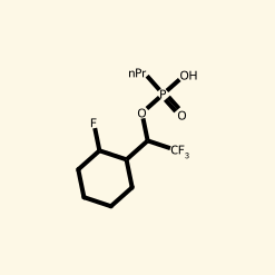 CCCP(=O)(O)OC(C1CCCCC1F)C(F)(F)F